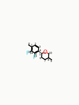 Cc1ccc([C@@H]2CCC(C)CO2)c(F)c1F